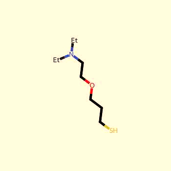 CCN(CC)CCOCCCS